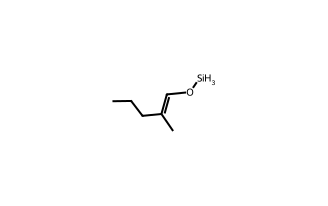 CCCC(C)=CO[SiH3]